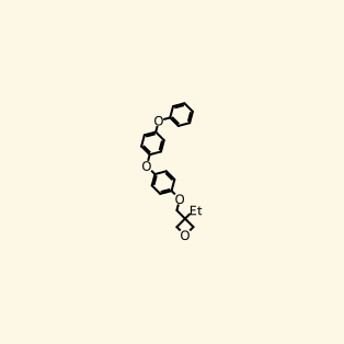 CCC1(COc2ccc(Oc3ccc(Oc4ccccc4)cc3)cc2)COC1